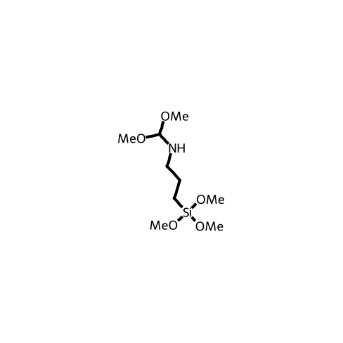 COC(NCCC[Si](OC)(OC)OC)OC